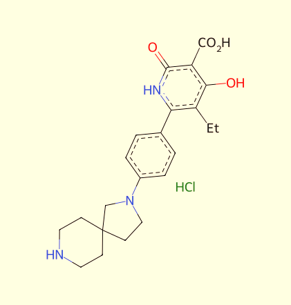 CCc1c(-c2ccc(N3CCC4(CCNCC4)C3)cc2)[nH]c(=O)c(C(=O)O)c1O.Cl